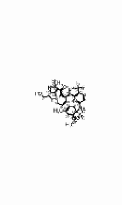 CNC(=O)C1=C(Nc2nc(NC3(P(=O)([O-])O)CC=C(C)C=C3OC)ccc2C(F)(F)F)C=CC[N+]1(CCCO)c1cn[nH]c1